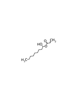 C=CC(=O)OC(O)CCCCCCCC